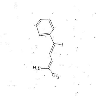 CC(C)=C/C=C(\I)c1ccccc1